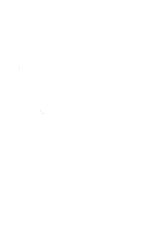 O=C(Nc1cccc(C(F)(F)F)c1C(F)(F)F)c1cc(-c2ccc(F)cc2F)ccc1O